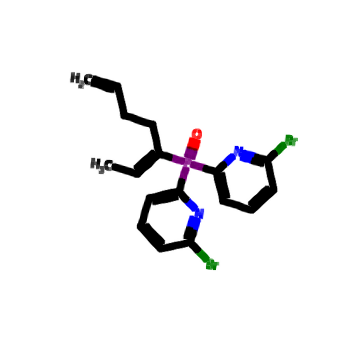 C=CCC/C(=C\C)P(=O)(c1cccc(Br)n1)c1cccc(Br)n1